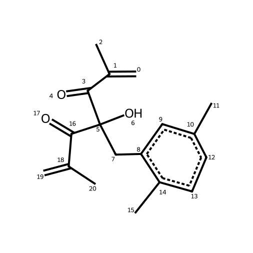 C=C(C)C(=O)C(O)(Cc1cc(C)ccc1C)C(=O)C(=C)C